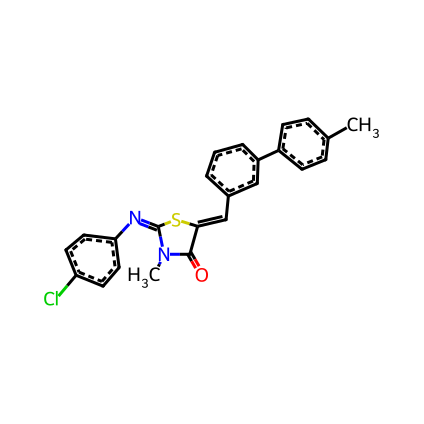 Cc1ccc(-c2cccc(/C=C3\S/C(=N/c4ccc(Cl)cc4)N(C)C3=O)c2)cc1